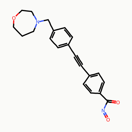 O=NC(=O)c1ccc(C#Cc2ccc(CN3CCCOCC3)cc2)cc1